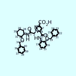 O=C(Cn1nc(C(=O)O)cc1C(=O)Nc1ccccc1OCc1ccccc1)N[C@H]1CCCC[C@@H]1OCc1ccccc1